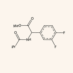 COC(=O)C(NC(=O)C(C)C)c1ccc(F)c(F)c1